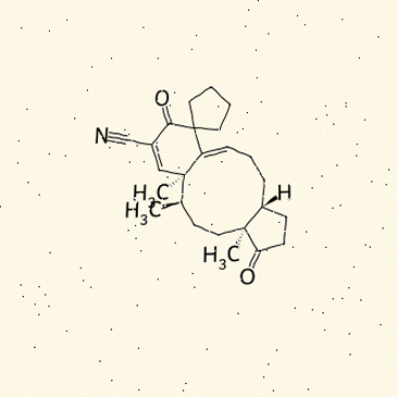 C[C@@H]1CC[C@]2(C)C(=O)CC[C@H]2CC/C=C2/C3(CCCC3)C(=O)C(C#N)=C[C@@]21C